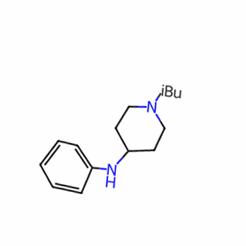 CCC(C)N1CCC(Nc2ccccc2)CC1